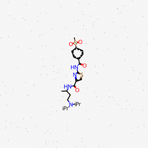 CC(CCN(C(C)C)C(C)C)NC(=O)c1csc(NC(=O)c2ccc(S(C)(=O)=O)cc2)n1